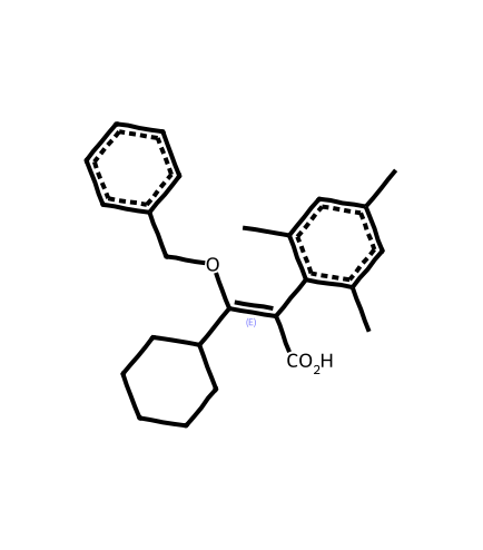 Cc1cc(C)c(/C(C(=O)O)=C(\OCc2ccccc2)C2CCCCC2)c(C)c1